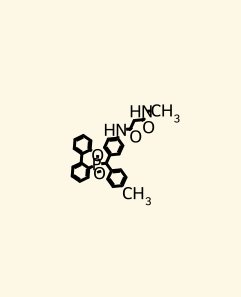 CNC(=O)CC(=O)Nc1ccc(C(c2ccc(C)cc2)P2(=O)Oc3ccccc3-c3ccccc32)cc1